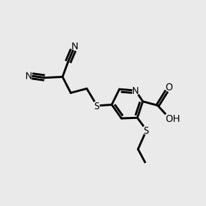 CCSc1cc(SCCC(C#N)C#N)cnc1C(=O)O